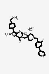 Cl.Cl.Cn1nc2c(=O)n(CC3(O)CCN(Cc4ccc(-c5ccncc5)cc4F)CC3)cnc2c1-c1ccc(CN)cc1